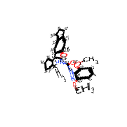 COc1cccc(OC)c1NC(=O)Nc1oc2cc3c(cc2c1-c1ccccc1C)CCC3